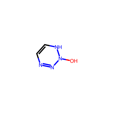 ON1N=NC=CN1